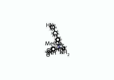 COc1cc(N2CCC(N3CCNCC3)CC2)ccc1N(C)/N=C(/Nc1cccc(NS(C)(=O)=O)c1)c1sccc1N